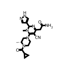 C[C@@H]1CN(C2=C(C#N)C(CC(N)=O)=NC(c3cn[nH]c3)N2C)CCN1C(=O)C1CC1